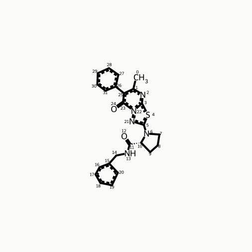 Cc1nc2sc(N3CCC[C@@H]3C(=O)NCc3ccccc3)nn2c(=O)c1-c1ccccc1